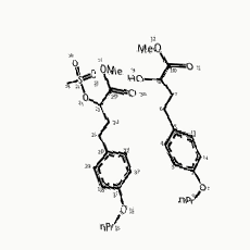 CCCOc1ccc(CCC(O)C(=O)OC)cc1.CCCOc1ccc(CCC(OS(C)(=O)=O)C(=O)OC)cc1